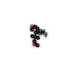 CC1(C)c2cc(-c3c4ccccc4c(-c4ccc5oc6ccccc6c5c4)c4ccccc34)ccc2-c2c1ccc1ccc3oc4ccccc4c3c21